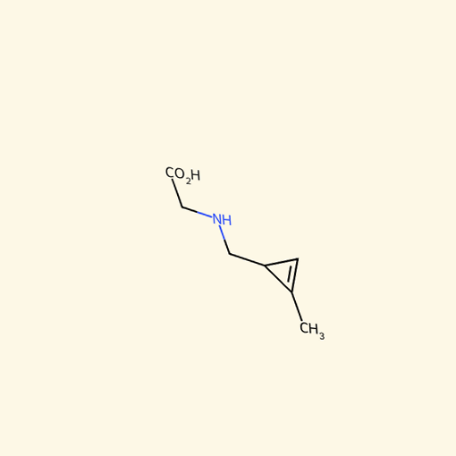 CC1=CC1CNCC(=O)O